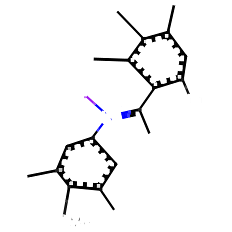 COc1c(C)cc(/[N+](I)=C(\C)c2c(C(C)C)cc(C)c(C)c2C)cc1C